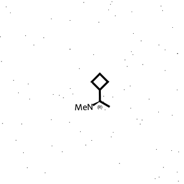 CN[C@H](C)C1CCC1